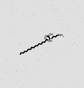 CCCCCCCCCCCCCCCC(=O)N[C@@H](CCCCN)C(=O)O